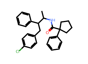 CC(NC(=O)C1(c2ccccc2)CCCC1)C(Cc1ccc(Cl)cc1)c1ccccc1